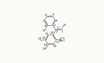 C/C=C(\c1ccccc1C)c1cc(C)c(C)cc1Cl